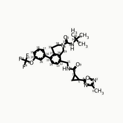 Cc1noc(C2CC2C(=O)NCc2ccc(-c3cccc(OC(F)(F)F)c3)c3c2CN(C(=O)NC(C)(C)C)CC3)n1